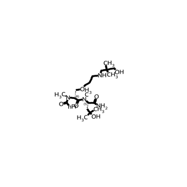 CCCC(=O)N(C)[C@H](COCCCNCC(C)(C)CO)C(=O)N(C)[C@@H](CC(C)(C)O)C(N)=O